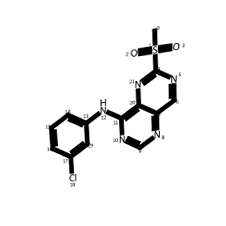 CS(=O)(=O)c1ncc2ncnc(Nc3cccc(Cl)c3)c2n1